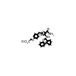 CCOC(=O)COc1ccc(Cc2nc(C(N)=O)c(NC(=O)c3ccccc3-c3ccccc3)[nH]2)cc1